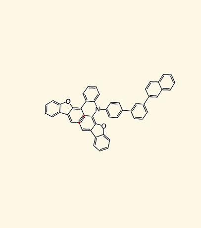 c1cc(-c2ccc(N(c3ccccc3-c3cccc4c3oc3ccccc34)c3cccc4c3oc3ccccc34)cc2)cc(-c2ccc3ccccc3c2)c1